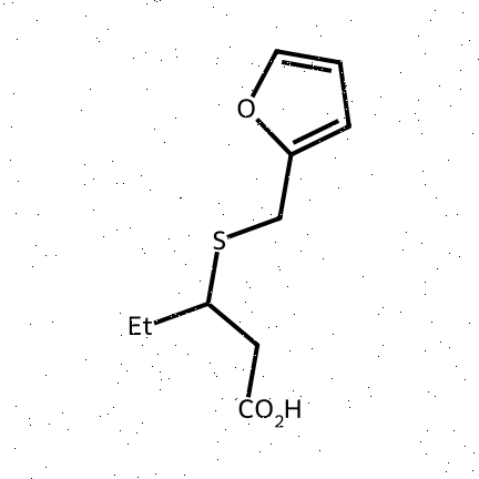 CCC(CC(=O)O)SCc1ccco1